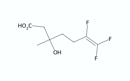 CC(O)(CCC(F)=C(F)F)CC(=O)O